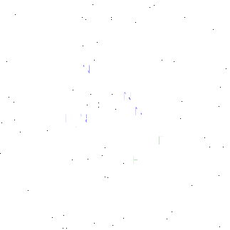 N#Cc1nnc(C(F)F)cc1N